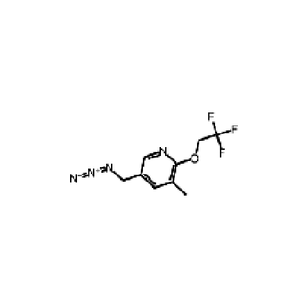 Cc1cc(CN=[N+]=[N-])cnc1OCC(F)(F)F